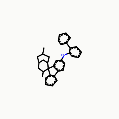 CC1CC2CC(C)C3(c4ccccc4-c4ccc(Nc5ccccc5-c5ccccc5)cc43)C(C1)C2